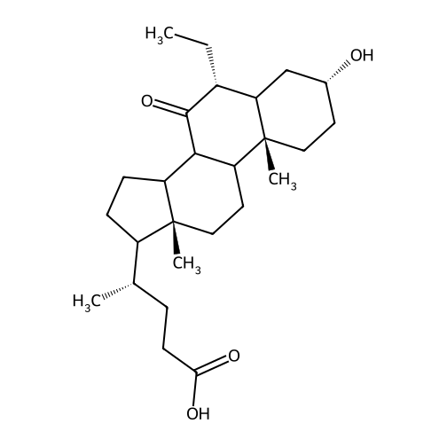 CC[C@H]1C(=O)C2C3CCC([C@@H](C)CCC(=O)O)[C@@]3(C)CCC2[C@@]2(C)CC[C@@H](O)CC12